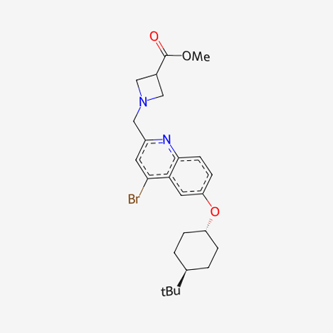 COC(=O)C1CN(Cc2cc(Br)c3cc(O[C@H]4CC[C@H](C(C)(C)C)CC4)ccc3n2)C1